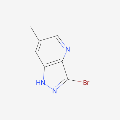 Cc1cnc2c(Br)n[nH]c2c1